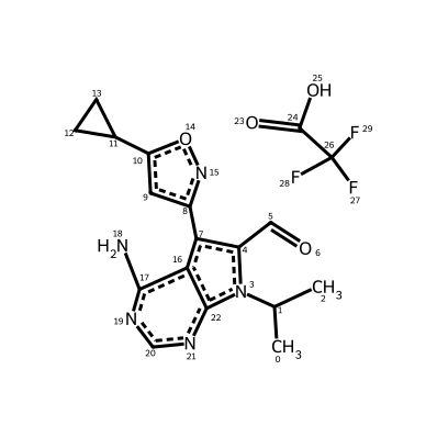 CC(C)n1c(C=O)c(-c2cc(C3CC3)on2)c2c(N)ncnc21.O=C(O)C(F)(F)F